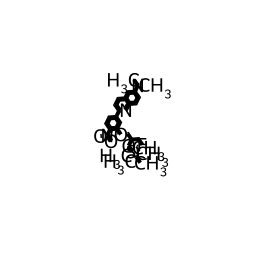 CN(C)c1ccc2nc(-c3ccc([N+](=O)[O-])c(OCC(CF)O[Si](C)(C)C(C)(C)C)c3)ccc2c1